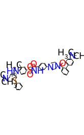 Cc1cc(S(=O)(=O)NC(=O)c2ccc(N3CCN(C(=O)c4ccccc4-c4ccc(N(C)C)cc4)CC3)cc2)ccc1N[C@H](CCN(C)C)CSc1ccccc1